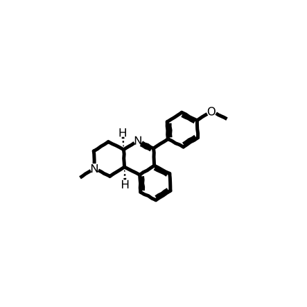 COc1ccc(C2=N[C@@H]3CCN(C)C[C@@H]3c3ccccc32)cc1